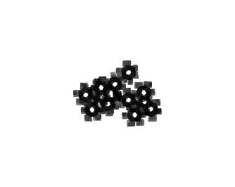 c1ccc(-c2cccc(N(c3ccc(C4(c5ccccc5)c5ccccc5-c5ccccc54)cc3)c3cccc4c3-c3ccccc3C4(c3ccccc3)c3ccccc3)c2)cc1